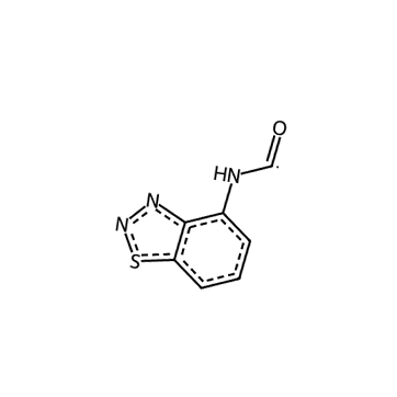 O=[C]Nc1cccc2snnc12